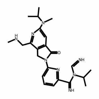 CNCc1nc(N(C)C(C)C)cc2c1CN(c1cccc(C(=N)N(C=N)C(C)C)n1)C2=O